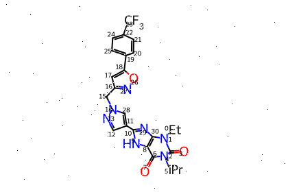 CCn1c(=O)n(C(C)C)c(=O)c2[nH]c(-c3cnn(Cc4cc(-c5ccc(C(F)(F)F)cc5)on4)c3)nc21